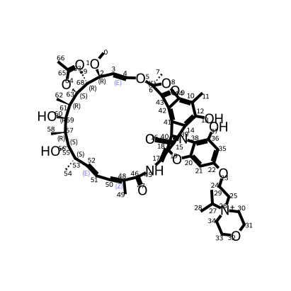 CO[C@H]1/C=C/O[C@@]2(C)Oc3c(C)c(O)c4c(=O)c(c5oc6cc(OCC[N+]7(C(C)C)CCOCC7)cc(O)c6nc-5c4c3C2=O)NC(=O)/C(C)=C\C=C\[C@H](C)[C@H](O)[C@@H](C)[C@@H](O)[C@@H](C)[C@H](OC(C)=O)[C@@H]1C